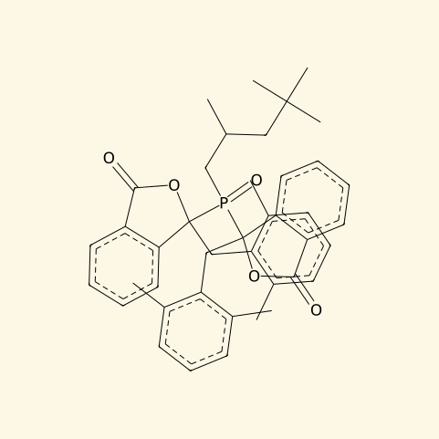 Cc1cccc(C)c1CC1(P(=O)(CC(C)CC(C)(C)C)C2(Cc3c(C)cccc3C)OC(=O)c3ccccc32)OC(=O)c2ccccc21